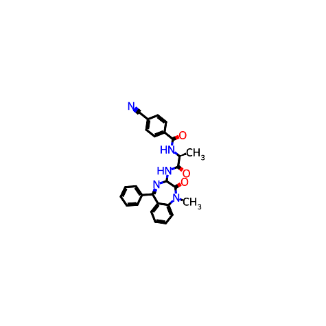 C[C@H](NC(=O)c1ccc(C#N)cc1)C(=O)NC1N=C(c2ccccc2)c2ccccc2N(C)C1=O